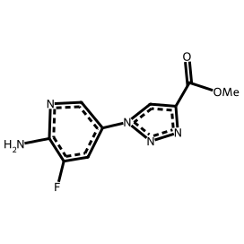 COC(=O)c1cn(-c2cnc(N)c(F)c2)nn1